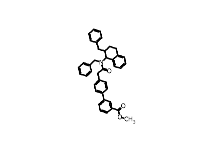 COC(=O)c1cccc(-c2ccc(CC(=O)N(Cc3ccccc3)C3c4ccccc4CCC3Cc3ccccc3)cc2)c1